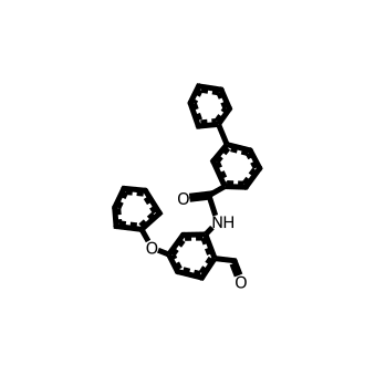 O=Cc1ccc(Oc2ccccc2)cc1NC(=O)c1cccc(-c2ccccc2)c1